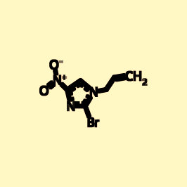 C=CCn1cc([N+](=O)[O-])nc1Br